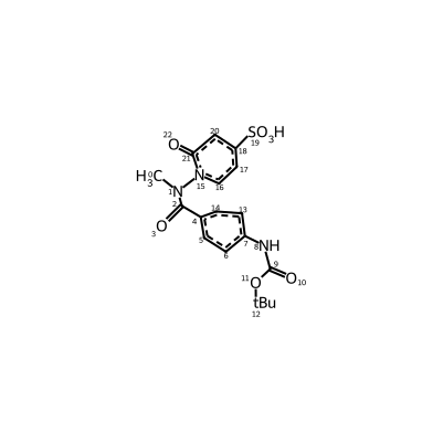 CN(C(=O)c1ccc(NC(=O)OC(C)(C)C)cc1)n1ccc(S(=O)(=O)O)cc1=O